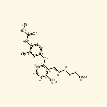 CCNC(=O)Nc1ccc(Oc2ncnc(N)c2C=NOCCOC)cc1Cl